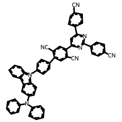 N#Cc1ccc(-c2cc(-c3cc(C#N)c(-c4ccc(-n5c6ccccc6c6cc(N(c7ccccc7)c7ccccc7)ccc65)cc4)cc3C#N)nc(-c3ccc(C#N)cc3)n2)cc1